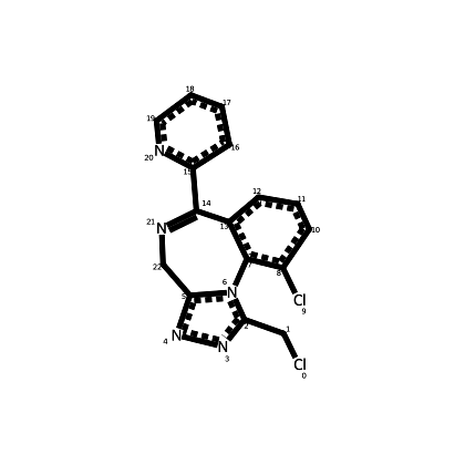 ClCc1nnc2n1-c1c(Cl)cccc1C(c1ccccn1)=NC2